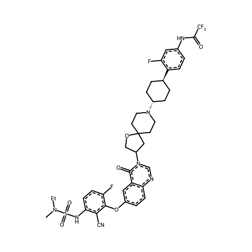 CCN(C)S(=O)(=O)Nc1ccc(F)c(Oc2ccc3ncn(C4COC5(CCN([C@H]6CC[C@H](c7ccc(NC(=O)C(F)(F)F)cc7F)CC6)CC5)C4)c(=O)c3c2)c1C#N